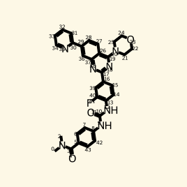 CN(C)C(=O)c1ccc(NC(=O)Nc2ccc(-c3nc(N4CCOCC4)c4ccc(-c5ccccn5)cc4n3)cc2F)cc1